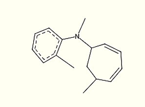 Cc1ccccc1N(C)C1C=CC=CC(C)C1